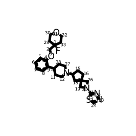 FC1(COc2ccccc2C2CCN(C3CCC4(C3)CN(c3nncs3)C4)CC2)CCOCC1